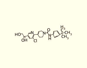 CC(C)(C)c1ccc(NC(=O)N2CC=C(c3ncc([C@H](O)CO)cc3Cl)CC2)cc1